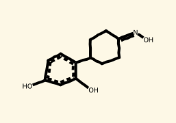 ON=C1CCC(c2ccc(O)cc2O)CC1